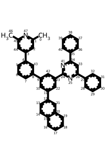 Cc1cc(-c2cccc(-c3cc(-c4ccc5ccccc5c4)cc(-c4nc(-c5ccccc5)cc(-c5ccccc5)n4)c3)c2)cc(C)n1